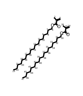 C=C(C)C(=O)OCCCCCCCCCCCCCCCCCC.C=C(C)C(=O)OCCCCCCCCCCCCCCCCCC